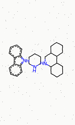 C1CCC2C(C1)CNC1CCCCC12.C1CCNCC1.c1ccc2c(c1)[nH]c1ccccc12